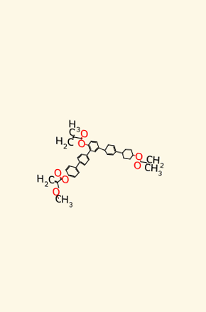 C=C(C)C(=O)Oc1ccc(C2C=CC(C3CCC(OC(=O)C(=C)C)CC3)=CC2)cc1-c1ccc(-c2ccc(OC(=O)C(=C)COC)cc2)cc1